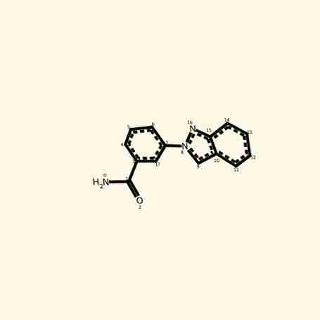 NC(=O)c1cccc(-n2cc3ccccc3n2)c1